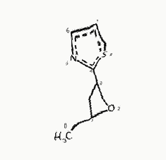 CC1OC1c1nccs1